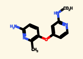 Cc1nc(N)ccc1Oc1ccnc(NC(=O)O)c1